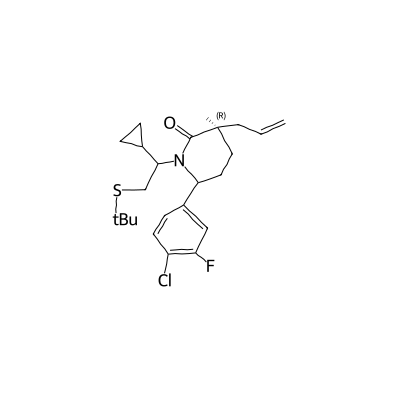 C=CC[C@@]1(C)CCC(c2ccc(Cl)c(F)c2)N(C(CSC(C)(C)C)C2CC2)C1=O